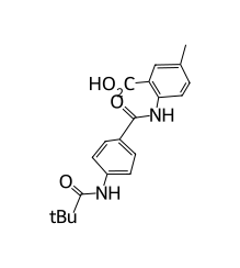 Cc1ccc(NC(=O)c2ccc(NC(=O)C(C)(C)C)cc2)c(C(=O)O)c1